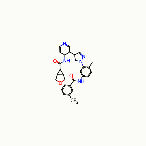 Cc1ccc(NC(=O)c2cccc(C(F)(F)F)c2)cc1N1CC(C2C=NC=CC2NC(=O)C2C3COCC32)C=N1